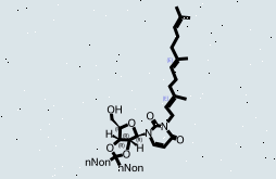 CCCCCCCCCC1(CCCCCCCCC)O[C@@H]2[C@H](O1)[C@@H](CO)O[C@H]2n1ccc(=O)n(C/C=C(\C)CC/C=C(\C)CCC=C(C)C)c1=O